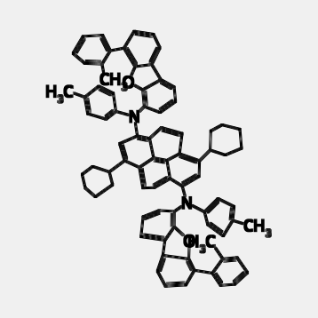 Cc1ccc(N(c2cc(C3CCCCC3)c3ccc4c(N(c5ccc(C)cc5)c5cccc6c5oc5c(-c7ccccc7C)cccc56)cc(C5CCCCC5)c5ccc2c3c54)c2cccc3c2oc2c(-c4ccccc4C)cccc23)cc1